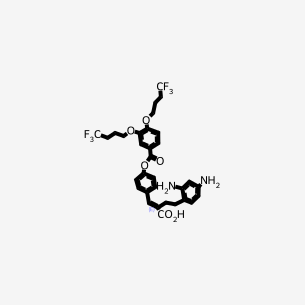 Nc1ccc(CC/C(=C\c2ccc(OC(=O)c3ccc(OCCCC(F)(F)F)c(OCCCC(F)(F)F)c3)cc2)C(=O)O)c(N)c1